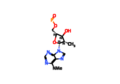 CNc1ncnc2c1ncn2[C@@H]1O[C@H](COP=O)[C@@H](O)[C@@H]1C